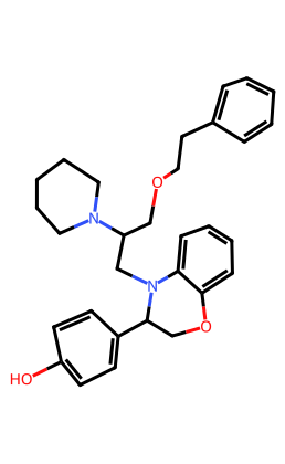 Oc1ccc(C2COc3ccccc3N2CC(COCCc2ccccc2)N2CCCCC2)cc1